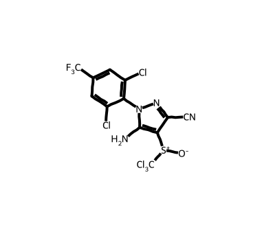 N#Cc1nn(-c2c(Cl)cc(C(F)(F)F)cc2Cl)c(N)c1[S+]([O-])C(Cl)(Cl)Cl